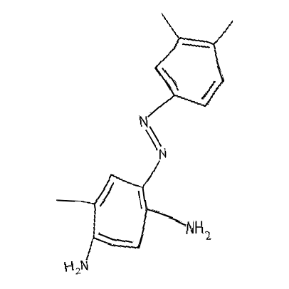 Cc1ccc(/N=N/c2cc(C)c(N)cc2N)cc1C